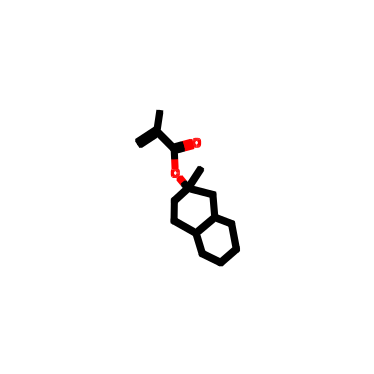 C=C(C)C(=O)OC1(C)CCC2CCCCC2C1